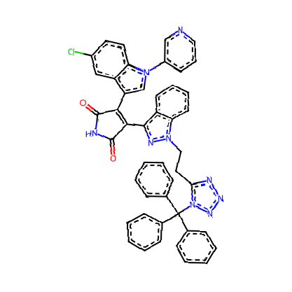 O=C1NC(=O)C(c2nn(CCc3nnnn3C(c3ccccc3)(c3ccccc3)c3ccccc3)c3ccccc23)=C1c1cn(-c2cccnc2)c2ccc(Cl)cc12